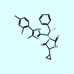 Cc1nc([C@H]([C@@H](C)c2ccccc2)N2C(=O)NC(C3CC3)C2=O)[nH]c1-c1ccc(I)cc1F